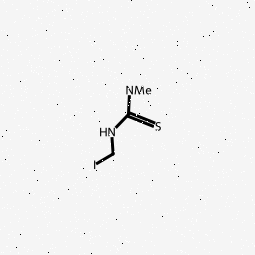 CNC(=S)NCI